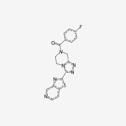 O=C(c1ccc(F)cc1)N1CCn2c(nnc2-c2nc3cnccc3s2)C1